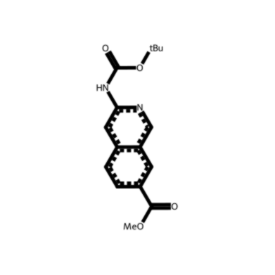 COC(=O)c1ccc2cc(NC(=O)OC(C)(C)C)ncc2c1